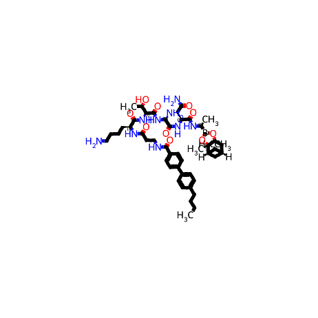 CCCCc1ccc(-c2ccc(C(=O)NCCC(=O)N[C@@H](CCCCN)C(=O)N[C@H](C(=O)N[C@@H](N)C(=O)N[C@@H](CC(N)=O)C(=O)N[C@@H](C)B3OC4C[C@@H]5C[C@@H](C5(C)C)[C@]4(C)O3)C(C)O)cc2)cc1